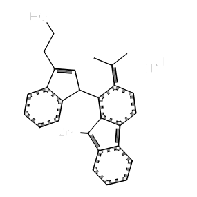 CC(C)=c1ccc2c(c1C1C=C(CCO)c3ccccc31)[C]([Zr+2])=c1ccccc1=2.[Cl-].[Cl-]